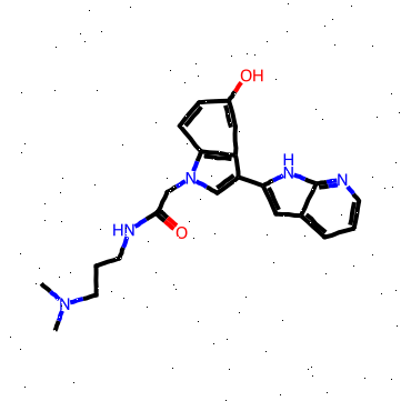 CN(C)CCCNC(=O)Cn1cc(-c2cc3cccnc3[nH]2)c2cc(O)ccc21